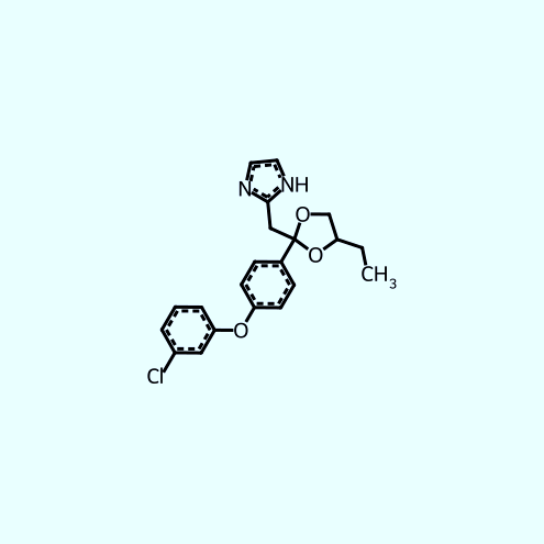 CCC1COC(Cc2ncc[nH]2)(c2ccc(Oc3cccc(Cl)c3)cc2)O1